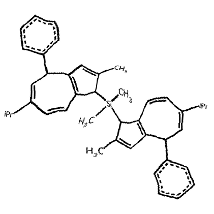 CC1=CC2=C(C=CC(C(C)C)=CC2c2ccccc2)C1[Si](C)(C)C1C(C)=CC2=C1C=CC(C(C)C)=CC2c1ccccc1